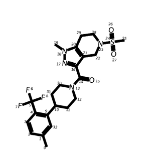 Cc1ccc(C(F)(F)F)c(C2CCN(C(=O)c3nn(C)c4c3CN(S(C)(=O)=O)CC4)CC2)c1